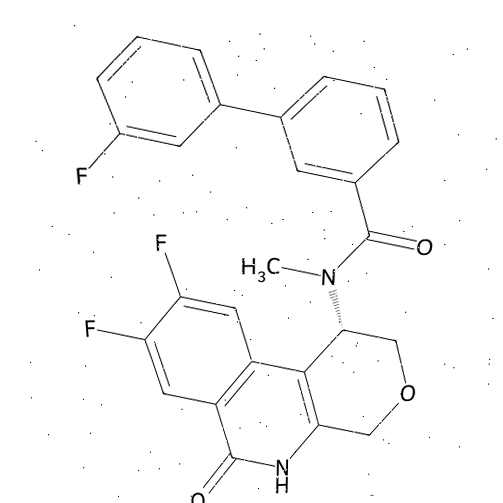 CN(C(=O)c1cccc(-c2cccc(F)c2)c1)[C@@H]1COCc2[nH]c(=O)c3cc(F)c(F)cc3c21